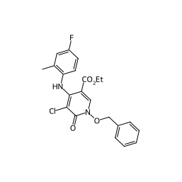 CCOC(=O)c1cn(OCc2ccccc2)c(=O)c(Cl)c1Nc1ccc(F)cc1C